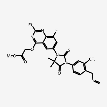 C=NCc1ccc(N2C(=O)C(C)(C)N(c3cc(F)c4nc(CC)nc(OCC(=O)OC)c4c3)C2=S)cc1C(F)(F)F